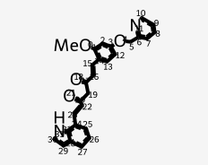 COc1cc(OCc2ccccn2)ccc1/C=C/C(=O)CC(=O)/C=C/c1cccc2cc[nH]c12